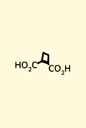 O=C(O)C1=C(C(=O)O)CC1